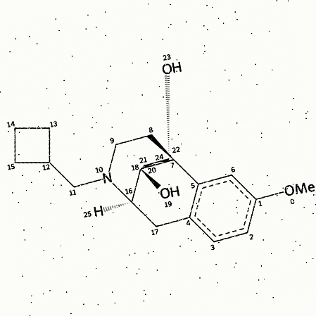 COc1ccc2c(c1)[C@]13CCN(CC4CCC4)[C@H](C2)[C@]1(O)CC[C@H](O)C3